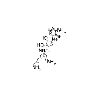 NCCCCCC(CCN)NC[C@H]1O[C@@H](n2cnc3c(N)ncnc32)[C@H](O)[C@@H]1O